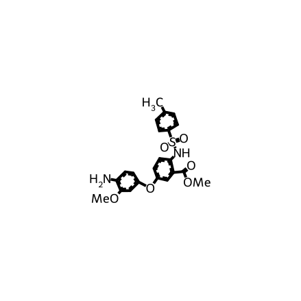 COC(=O)c1cc(Oc2ccc(N)c(OC)c2)ccc1NS(=O)(=O)c1ccc(C)cc1